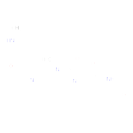 CNC[C@@H]1CN(c2cccc3c2n(C)c(=O)n3C2CCC(=O)NC2=O)CCO1